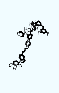 O=C1CCC(n2ccc3cc(CCCCN4CCN(c5ccc(C(=O)Nc6n[nH]c7ccc(Cc8cc(F)cc(F)c8)cc67)c(NC6CCOCC6)c5)CC4)ccc32)C(=O)N1